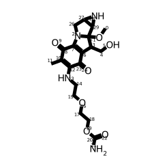 COC12C(CO)C3=C(C(=O)C(C)=C(NCCOCCOC(N)=O)C3=O)N1CC1NC12